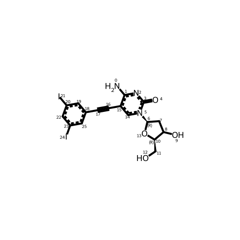 Nc1nc(=O)n([C@H]2CC(O)[C@@H](CO)O2)cc1C#Cc1cc(I)cc(I)c1